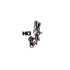 CN(CCCN(C)C(=O)c1ccc(CNCc2ccc(C(=O)N(C)CCN3CCC(N(C(=O)O)c4ccccc4-c4ccccc4)CC3)cc2)cc1)C(=O)CO[C@H]1Cc2ccccc2C12CCN(CC[C@@]1(c3ccc(F)cc3)CN(C(=O)c3cc(C(F)(F)F)cc(C(F)(F)F)c3)CO1)CC2.Cl.Cl.Cl